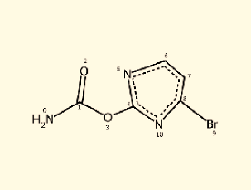 NC(=O)Oc1nccc(Br)n1